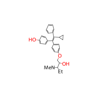 CCC(NC)C(O)COc1ccc(C(=C(c2ccccc2)C2CC2)c2ccc(O)cc2)cc1